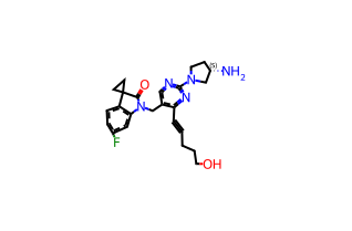 N[C@H]1CCN(c2ncc(CN3C(=O)C4(CC4)c4ccc(F)cc43)c(C#CCCCO)n2)C1